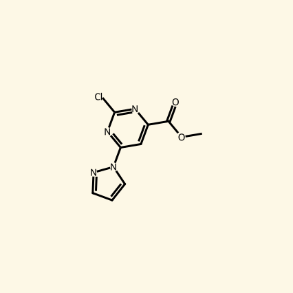 COC(=O)c1cc(-n2cccn2)nc(Cl)n1